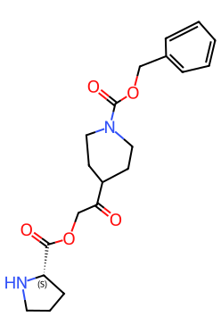 O=C(COC(=O)[C@@H]1CCCN1)C1CCN(C(=O)OCc2ccccc2)CC1